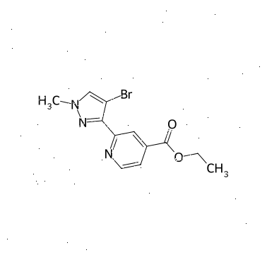 CCOC(=O)c1ccnc(-c2nn(C)cc2Br)c1